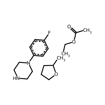 CC1CCCO1.CCOC(C)=O.Fc1ccc(N2CCNCC2)cc1